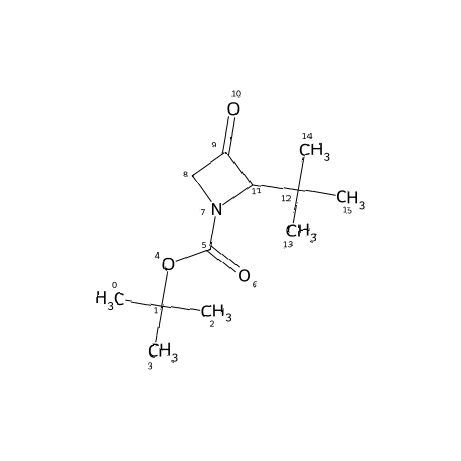 CC(C)(C)OC(=O)N1CC(=O)C1C(C)(C)C